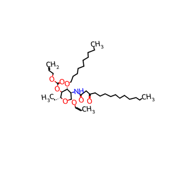 C=CCOC(=O)O[C@H]1[C@H](OCCCCCCCCCC)[C@@H](NC(=O)CC(=O)CCCCCCCCCCC)[C@@H](O/C=C\C)O[C@@H]1CC